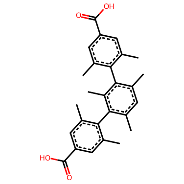 Cc1cc(C(=O)O)cc(C)c1-c1c(C)cc(C)c(-c2c(C)cc(C(=O)O)cc2C)c1C